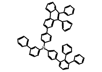 c1ccc(-c2cccc(N(c3ccc(-c4ccc5c(c4)c(-c4ccccc4)c(-c4ccccc4)c4ccccc45)cc3)c3ccc(-c4cccc(-c5ccccc5)c4-c4ccccc4)cc3)c2)cc1